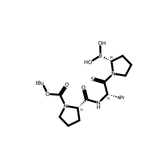 CC(C)[C@H](NC(=O)[C@@H]1CCCN1C(=O)OC(C)(C)C)C(=S)N1CCC[C@H]1B(O)O